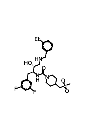 CCc1cccc(CNC[C@@H](O)[C@H](Cc2cc(F)cc(F)c2)NC(=O)N2CCC(CS(C)(=O)=O)CC2)c1